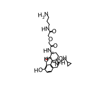 NCCCNC(=O)COCC(=O)N[C@@H]1CC[C@@]2(O)[C@H]3Cc4ccc(O)c5c4[C@@]2(CCN3CC2CC2)[C@H]1O5